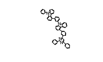 c1ccc(-c2cc(-c3cccc(-c4cccc5c4c4ccccc4n5-c4cccc(-c5cccc6c5c5ccccc5n6-c5ccccc5)c4)c3)nc(-c3ccccc3)n2)cc1